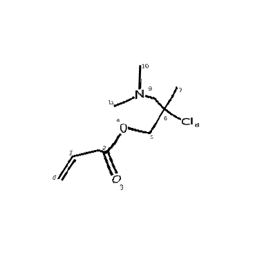 C=CC(=O)OCC(C)(Cl)N(C)C